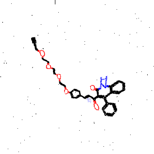 C#CCOCCOCCOCCOc1ccc(/C=C/C(=O)c2c(-c3ccccc3)c3ccccc3[nH]c2=O)cc1